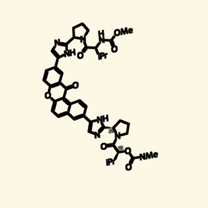 CNC(=O)O[C@H](C(=O)N1CCC[C@H]1c1ncc(-c2ccc3c(ccc4oc5ccc(-c6cnc(C7CCCN7C(=O)C(NC(=O)OC)C(C)C)[nH]6)cc5c(=O)c43)c2)[nH]1)C(C)C